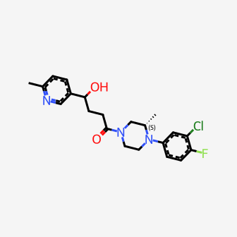 Cc1ccc(C(O)CCC(=O)N2CCN(c3ccc(F)c(Cl)c3)[C@@H](C)C2)cn1